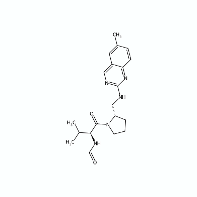 Cc1ccc2nc(NC[C@@H]3CCCN3C(=O)[C@@H](NC=O)C(C)C)ncc2c1